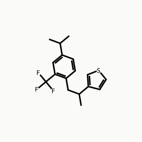 CC(C)c1ccc(CC(C)c2ccsc2)c(C(F)(F)F)c1